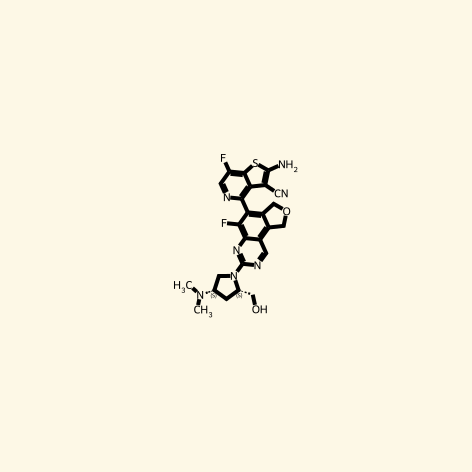 CN(C)[C@H]1C[C@@H](CO)N(c2ncc3c4c(c(-c5ncc(F)c6sc(N)c(C#N)c56)c(F)c3n2)COC4)C1